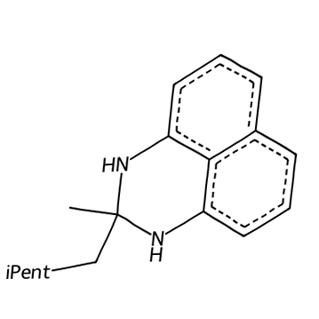 CCCC(C)CC1(C)Nc2cccc3cccc(c23)N1